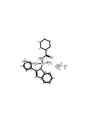 [CH3][Ti+2]([CH3])([NH]C(=O)C1CCCCC1)[CH]1C(c2cc[nH]c2)=Cc2ccccc21.[Cl-].[Cl-].[SiH4]